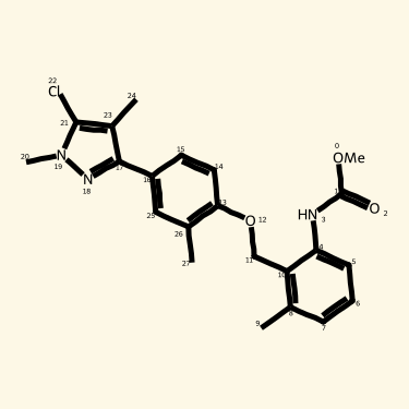 COC(=O)Nc1cccc(C)c1COc1ccc(-c2nn(C)c(Cl)c2C)cc1C